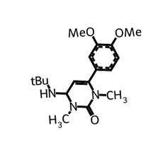 COc1ccc(C2=CC(NC(C)(C)C)N(C)C(=O)N2C)cc1OC